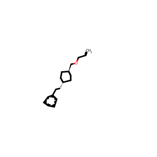 C=CCOC[C@H]1CC[C@H](CCc2ccccc2)CC1